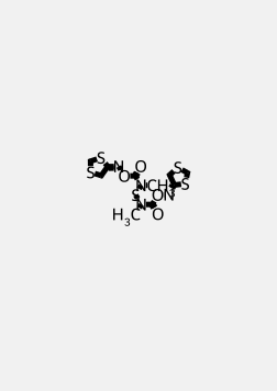 CN(SN(C)C(=O)ON=C1CSCS1)C(=O)ON=C1CSCS1